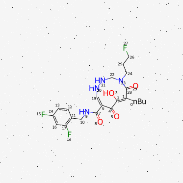 CCCC/C1=C(/O)C(=O)/C(C(=O)NCc2ccc(F)cc2F)=C\NNCN(CCCF)C1=O